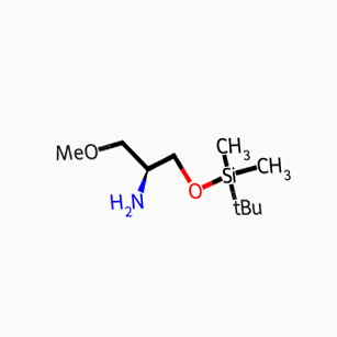 COC[C@H](N)CO[Si](C)(C)C(C)(C)C